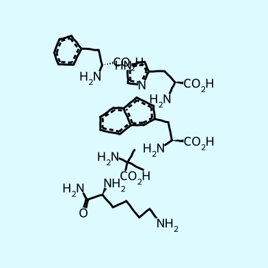 CC(C)(N)C(=O)O.NCCCC[C@H](N)C(N)=O.N[C@@H](Cc1c[nH]cn1)C(=O)O.N[C@@H](Cc1ccc2ccccc2c1)C(=O)O.N[C@H](Cc1ccccc1)C(=O)O